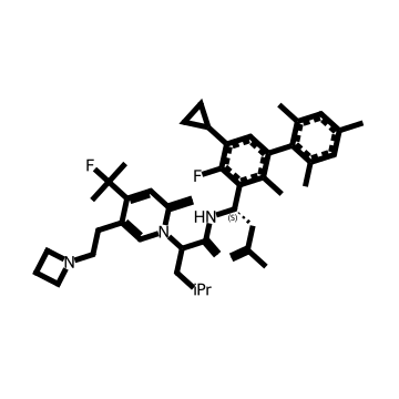 C=C(C)C[C@H](NC(=C)C(CC(C)C)N1C=C(CCN2CCC2)C(C(C)(C)F)=CC1=C)c1c(C)c(-c2c(C)cc(C)cc2C)cc(C2CC2)c1F